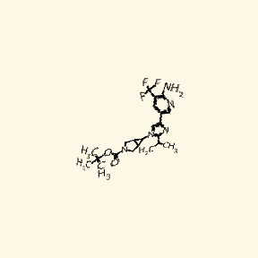 CC(C)c1nc(-c2cnc(N)c(C(F)(F)F)c2)cn1C1C2CN(C(=O)OC(C)(C)C)CC21